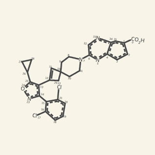 O=C(O)c1ccc2nc(N3CCC4(C=C(c5c(-c6c(Cl)cccc6Cl)noc5C5CC5)C4)CC3)cnc2c1